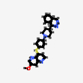 COc1cnc2c(Sc3ccc(N4CC=C(c5nncc6ccccc56)CC4)cc3)ccnc2c1